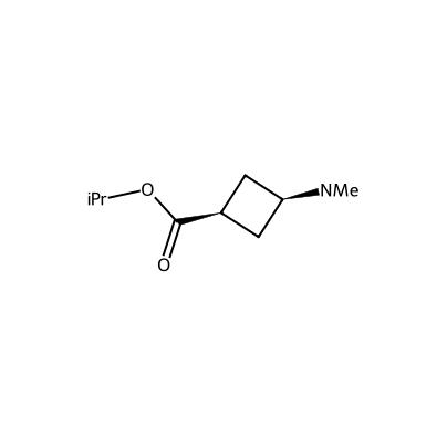 CN[C@H]1C[C@@H](C(=O)OC(C)C)C1